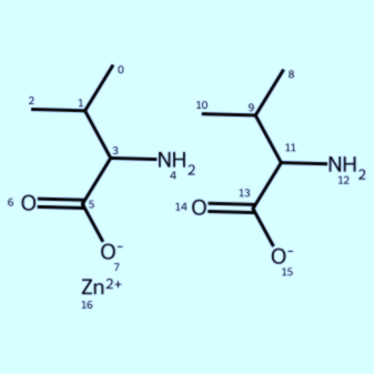 CC(C)C(N)C(=O)[O-].CC(C)C(N)C(=O)[O-].[Zn+2]